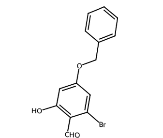 O=Cc1c(O)cc(OCc2ccccc2)cc1Br